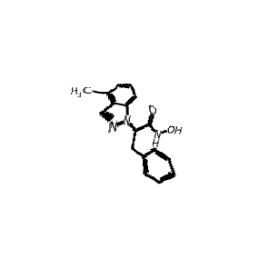 Cc1cccc2c1cnn2C(Cc1ccccc1)C(=O)NO